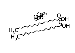 CCCCCCCCCCCCCCCCCC(=O)O.CCCCCCCCCCCCCCCCCC(=O)O.[Ca+2].[N-]=C=O.[N-]=C=O